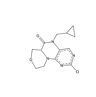 O=C1C2COCCN2c2nc(Cl)ncc2N1CC1CC1